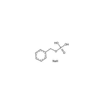 O=P(O)(O)OCc1ccccc1.[NaH]